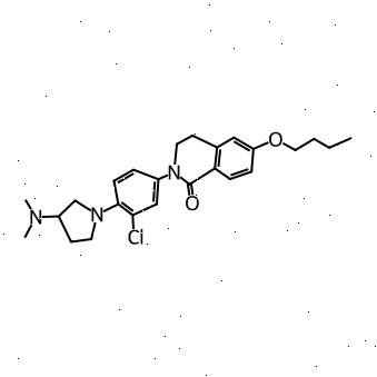 CCCCOc1ccc2c(c1)CCN(c1ccc(N3CCC(N(C)C)C3)c(Cl)c1)C2=O